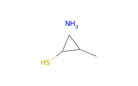 CC1CC1S.N